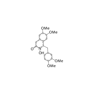 COc1ccc(Cc2c3cc(OC)c(OC)cc3cc(=O)n2O)cc1OC